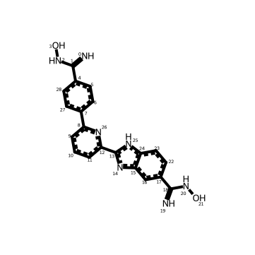 N=C(NO)c1ccc(-c2cccc(-c3nc4cc(C(=N)NO)ccc4[nH]3)n2)cc1